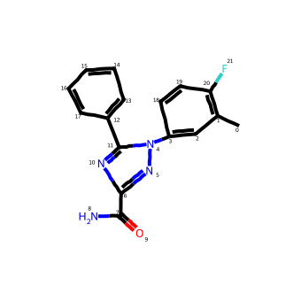 Cc1cc(-n2nc(C(N)=O)nc2-c2ccccc2)ccc1F